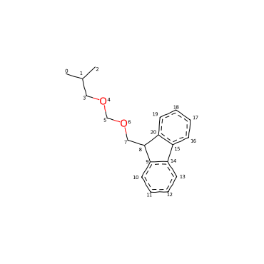 CC(C)COCOCC1c2ccccc2-c2ccccc21